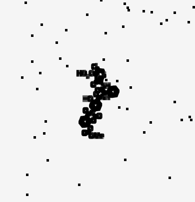 COC(=O)Oc1cccc2c(=O)n(-c3ccc(C(=O)N[C@@H](C(=O)N[C@@H]4C(=O)N5C(C(=O)O)=C(Cl)CSC45)c4ccccc4)c(O)c3)c(=O)oc12